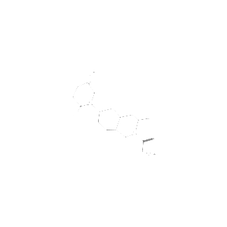 CCOC(=O)C1CC2CC(N3C[C@@H](O)CCC3C(=O)OCC)CCC2CN1C(=O)OC